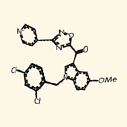 COc1ccc2c(c1)c(C(=O)c1nc(-c3ccncc3)no1)cn2Cc1ccc(Cl)cc1Cl